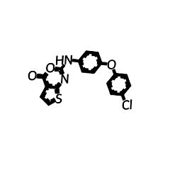 O=c1oc(Nc2ccc(Oc3ccc(Cl)cc3)cc2)nc2sccc12